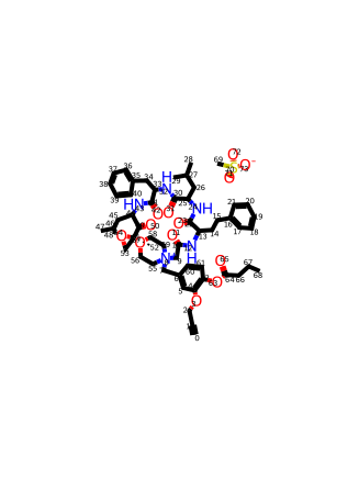 C#CCOc1cc(C[N+]2(CC(=O)NC(CCc3ccccc3)C(=O)NC(CC(C)C)C(=O)NC(Cc3ccccc3)C(=O)NC(CC(C)C)C(=O)[C@@]3(C)CO3)CCOCC2)ccc1OC(=O)CCC.CS(=O)(=O)[O-]